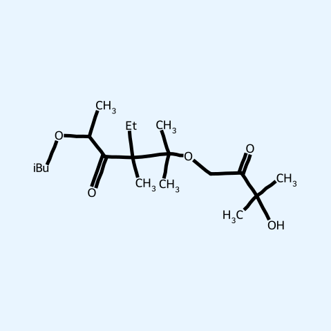 CCC(C)OC(C)C(=O)C(C)(CC)C(C)(C)OCC(=O)C(C)(C)O